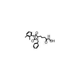 Cc1cccc(N2C(=O)C(CCCC(=O)NO)N(Cc3ccccc3)C2=O)c1C